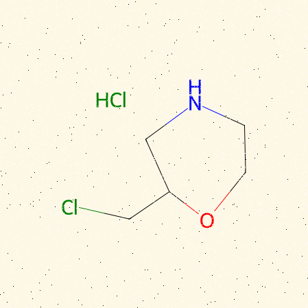 Cl.ClCC1CNCCO1